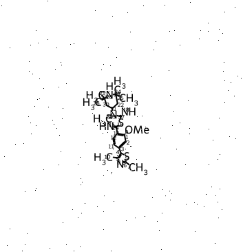 COc1cc(-c2sc(C)nc2C)ccc1C(=N)SC(=N)N(C)C1CC(C)(C)NC(C)(C)C1